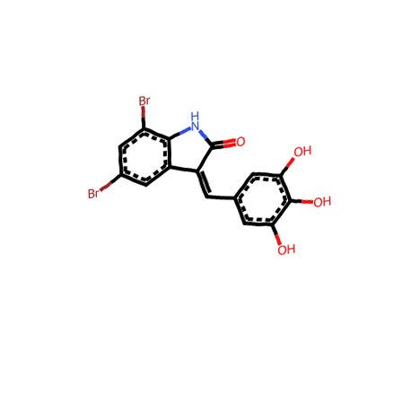 O=C1Nc2c(Br)cc(Br)cc2C1=Cc1cc(O)c(O)c(O)c1